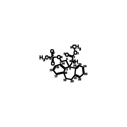 COC(=O)NC1(CCOS(C)(=O)=O)c2ccccc2CCc2ccccc21